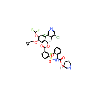 O=C(O[C@@H](Cc1c(Cl)cncc1Cl)c1ccc(OC(F)F)c(OCC2CC2)c1)c1cccc(S(=O)(=O)NC(C(=O)O[C@H]2CN3CCC2CC3)c2ccccc2F)c1